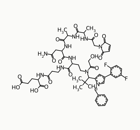 CC(NC(=O)CN1C(=O)C=CC1=O)C(=O)NC(C)C(=O)NC(CC(N)=O)C(=O)NC(CCN(C(=O)CO)C(c1cc(-c2cc(F)ccc2F)cn1Cc1ccccc1)C(C)(C)C)C(=O)NCCC(=O)NC(CCC(=O)O)C(=O)O